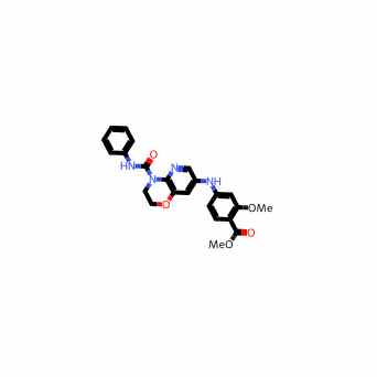 COC(=O)c1ccc(Nc2cnc3c(c2)OCCN3C(=O)Nc2ccccc2)cc1OC